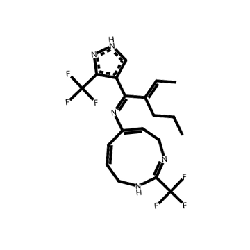 C/C=C(CCC)/C(=N\C1=C\C/N=C(/C(F)(F)F)NC\C=C/1)c1c[nH]nc1C(F)(F)F